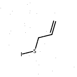 C=CCSI